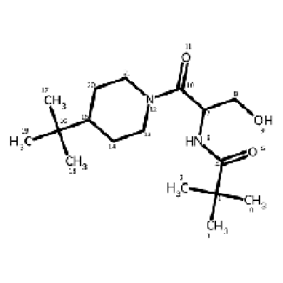 CC(C)(C)C(=O)NC(CO)C(=O)N1CCC(C(C)(C)C)CC1